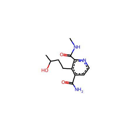 CNC(=O)c1nccc(C(N)=O)c1CCC(C)O